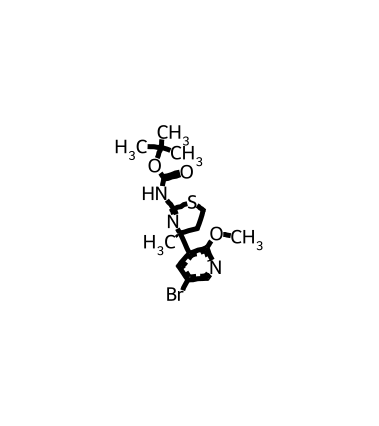 COc1ncc(Br)cc1[C@]1(C)CCSC(NC(=O)OC(C)(C)C)=N1